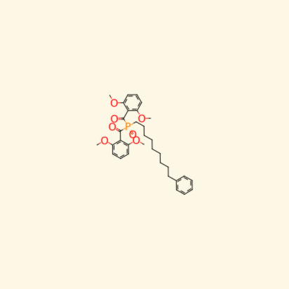 COc1cccc(OC)c1C(=O)P(=O)(CCCCCCCCCc1ccccc1)C(=O)c1c(OC)cccc1OC